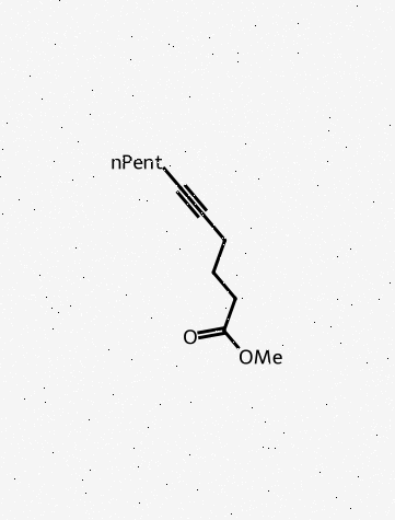 [CH2]CCCCC#CCCCC(=O)OC